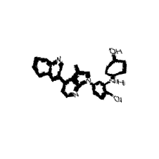 Cc1cn(-c2ccc(C#N)c(NC3CCC(O)CC3)c2)c2nccc(-c3cnc4ccccc4c3)c12